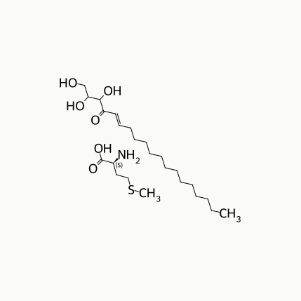 CCCCCCCCCCCCCC=CC(=O)C(O)C(O)CO.CSCC[C@H](N)C(=O)O